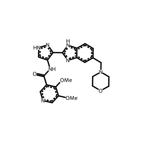 COc1cncc(C(=O)Nc2c[nH]nc2-c2nc3cc(CN4CCOCC4)ccc3[nH]2)c1OC